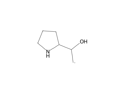 [CH2]C(O)C1CCCN1